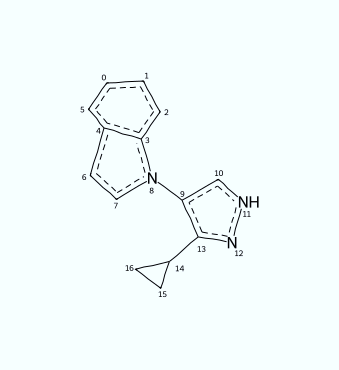 c1ccc2c(c1)ccn2-c1c[nH]nc1C1CC1